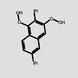 CC(C)c1ccc2c(OO)c(C(C)C)c(OO)cc2c1